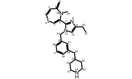 C=C1C=CSC=C(c2nc(CC)cn2Cc2cccc(CC3CCNCC3)c2)N1C